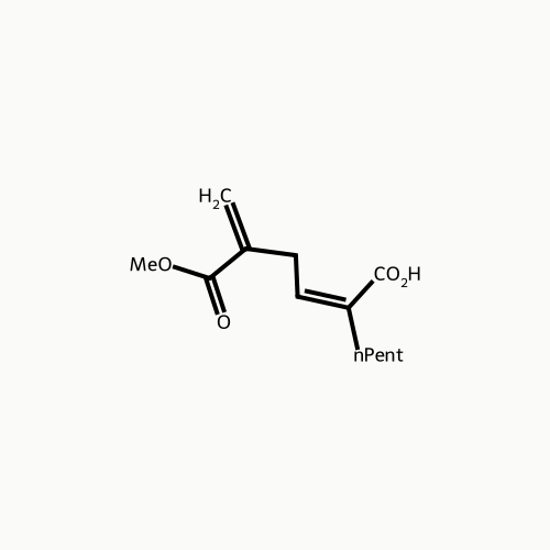 C=C(CC=C(CCCCC)C(=O)O)C(=O)OC